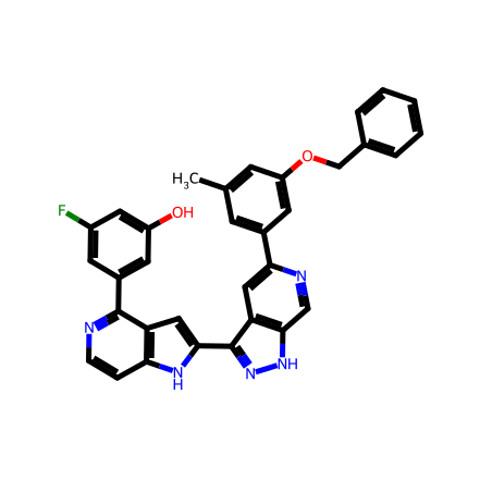 Cc1cc(OCc2ccccc2)cc(-c2cc3c(-c4cc5c(-c6cc(O)cc(F)c6)nccc5[nH]4)n[nH]c3cn2)c1